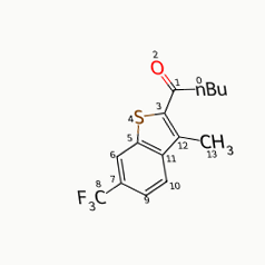 CCCCC(=O)c1sc2cc(C(F)(F)F)ccc2c1C